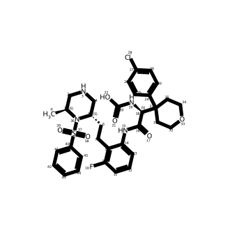 C[C@H]1CNC[C@H](CCc2c(F)cccc2NC(=O)[C@@H](NC(=O)O)C2(c3ccc(Cl)cc3)CCOCC2)N1S(=O)(=O)c1ccccc1